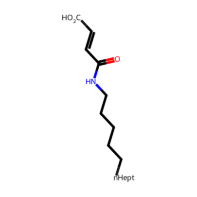 CCCCCCCCCCCCNC(=O)/C=C/C(=O)O